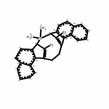 CCC1=C2CCC3=C(CC)[CH](c4ccc5ccccc5c43)[Ti]([CH3])([CH3])[CH]1c1ccc3ccccc3c12